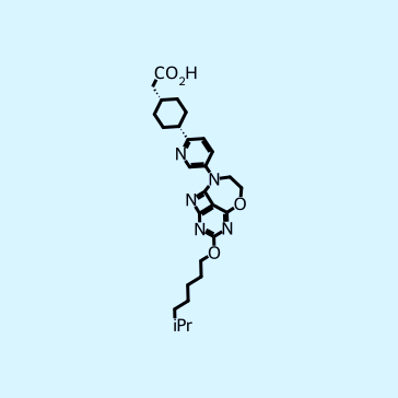 CC(C)CCCCCOc1nc2c3c(n1)OCCN(c1ccc([C@H]4CC[C@@H](CC(=O)O)CC4)nc1)C3=N2